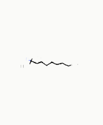 CCCCCCCCCCCCCCCC(C)(N)CCCC